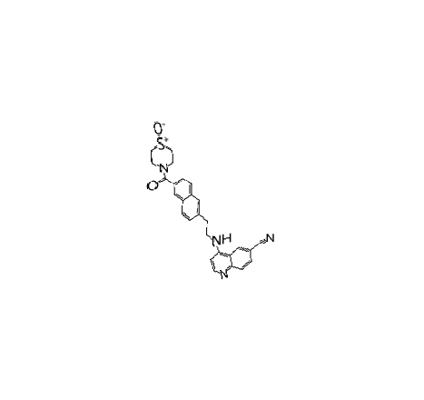 N#Cc1ccc2nccc(NCCc3ccc4cc(C(=O)N5CC[S+]([O-])CC5)ccc4c3)c2c1